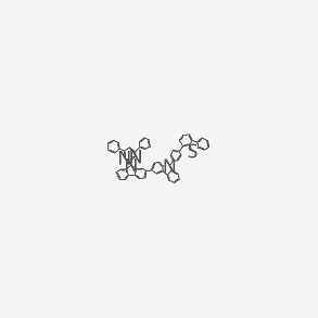 c1ccc(-c2cc(-c3ccccc3)nc(-n3c4ccccc4c4ccc(-c5ccc6c(c5)c5ccccc5n6-c5ccc(-c6cccc7c6sc6ccccc67)cc5)cc43)n2)cc1